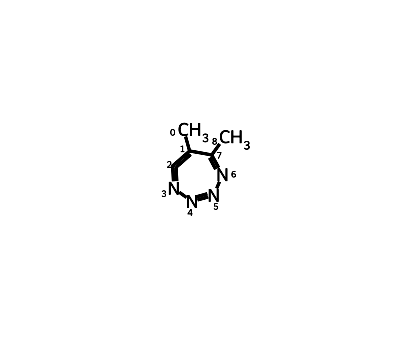 CC1=C=NN=NN=C1C